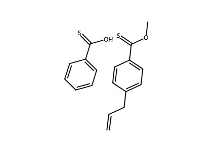 C=CCc1ccc(C(=S)OC)cc1.OC(=S)c1ccccc1